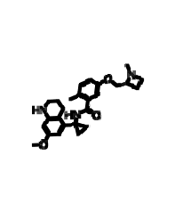 COc1cc2c(c(C3(NC(=O)c4cc(OC[C@@H]5CCN5C)ccc4C)CC3)c1)CCCN2